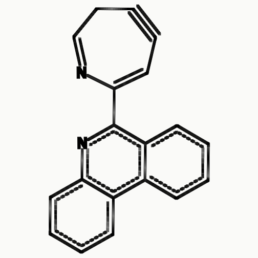 C1#CCC=NC(c2nc3ccccc3c3ccccc23)=C1